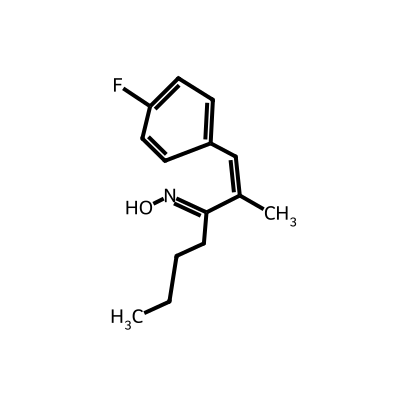 CCCCC(=NO)C(C)=Cc1ccc(F)cc1